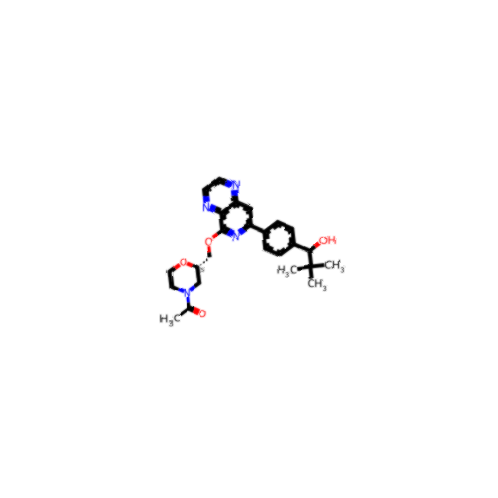 CC(=O)N1CCO[C@H](COc2nc(-c3ccc(C(O)C(C)(C)C)cc3)cc3nccnc23)C1